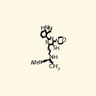 C/C=C(\C#CNC)NC/C=C/c1nc(-c2cccc3[nH]ncc23)nc(N2CCOCC2)c1S